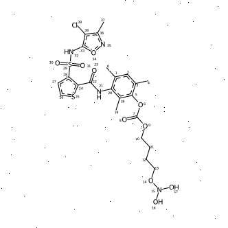 Cc1cc(C)c(OC(=O)OCCCCON(O)O)c(C)c1NC(=O)c1sccc1S(=O)(=O)Nc1onc(C)c1Cl